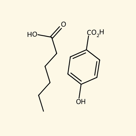 CCCCCC(=O)O.O=C(O)c1ccc(O)cc1